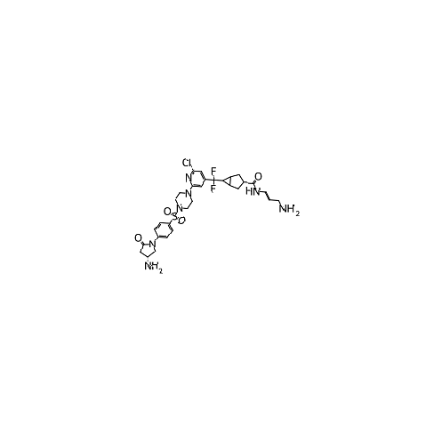 NCCCNC(=O)C1CC2C(C1)C2C(F)(F)c1cc(Cl)nc(N2CCN(S(=O)(=O)c3ccc(N4C[C@H](N)CC4=O)cc3)CC2)c1